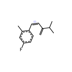 C=C(/C=C\c1ccc(F)cc1C)C(C)C